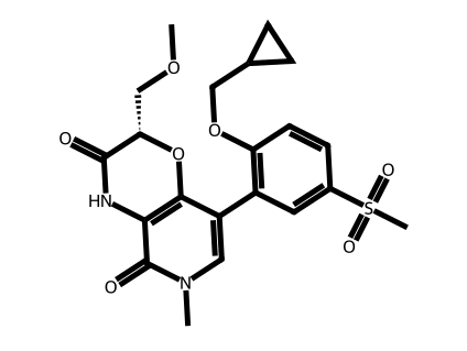 COC[C@@H]1Oc2c(-c3cc(S(C)(=O)=O)ccc3OCC3CC3)cn(C)c(=O)c2NC1=O